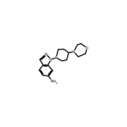 Nc1ccc2cnn(N3CCC(N4CCOCC4)CC3)c2c1